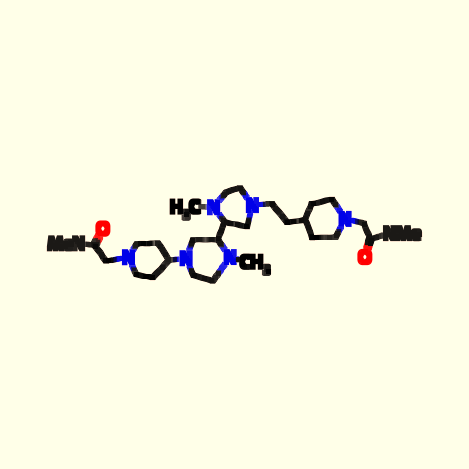 CNC(=O)CN1CCC(CCN2CCN(C)C(C3CN(C4CCN(CC(=O)NC)CC4)CCN3C)C2)CC1